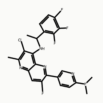 Cc1nc2cc(F)c(-c3ccc(P(C)C)nc3)nc2c(NC(C)c2ccc(F)c(F)c2F)c1Cl